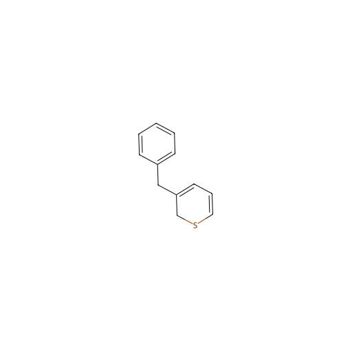 C1=CSCC(Cc2ccccc2)=C1